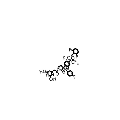 O=C(Cc1cc(O)nc(O)n1)N1CC[C@](c2ccc(C(OCc3c(F)cccc3F)(C(F)(F)F)C(F)(F)F)cc2)(S(=O)(=O)c2ccc(F)cc2)C1